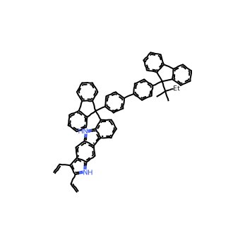 C=Cc1[nH]c2cc3c(cc2c1C=C)[nH]c1c(C2(c4ccc(-c5ccc(C6(C(C)(C)CC)c7ccccc7-c7ccccc76)cc5)cc4)c4ccccc4-c4ccccc42)cccc13